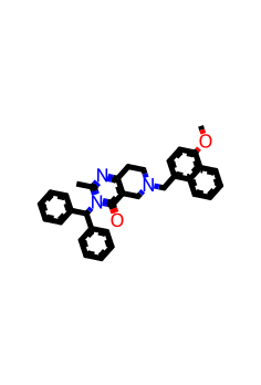 COc1ccc(CN2CCc3nc(C)n(C(c4ccccc4)c4ccccc4)c(=O)c3C2)c2ccccc12